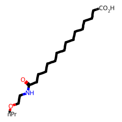 CCCOCCNC(=O)CCCCCCCCCCCCCCC(=O)O